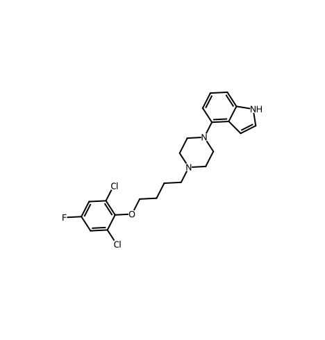 Fc1cc(Cl)c(OCCCCN2CCN(c3cccc4[nH]ccc34)CC2)c(Cl)c1